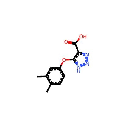 Cc1ccc(Oc2[nH]nnc2C(=O)O)cc1C